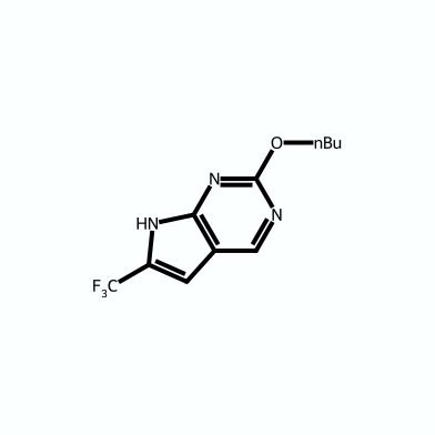 CCCCOc1ncc2cc(C(F)(F)F)[nH]c2n1